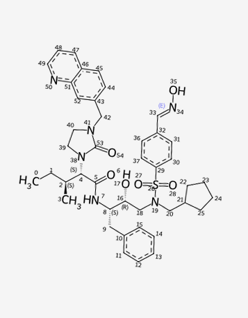 CC[C@H](C)[C@@H](C(=O)N[C@@H](Cc1ccccc1)[C@H](O)CN(CC1CCCC1)S(=O)(=O)c1ccc(/C=N/O)cc1)N1CCN(Cc2ccc3cccnc3c2)C1=O